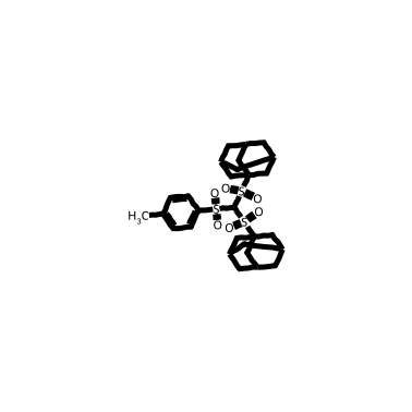 Cc1ccc(S(=O)(=O)C(S(=O)(=O)C23CC4CC(CC(C4)C2)C3)S(=O)(=O)C23CC4CC(CC(C4)C2)C3)cc1